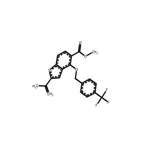 C=C(C)c1cc2c(OCc3ccc(C(F)(F)F)cc3)c(C(=O)OC)ccc2s1